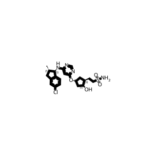 C[C@H]1Cc2cc(Cl)ccc2[C@H]1Nc1cc(O[C@@H]2C[C@@H](CCS(N)(=O)=O)[C@@H](O)C2)ncn1